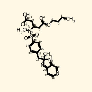 CCCCOC(=O)CC(CC(C)C)N(C)S(=O)(=O)c1ccc(CC2(C)N=c3ccncc3=N2)cc1